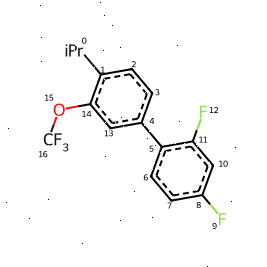 CC(C)c1ccc(-c2ccc(F)cc2F)cc1OC(F)(F)F